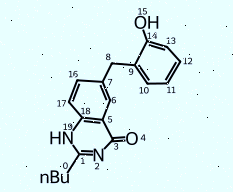 CCCCc1nc(=O)c2cc(Cc3ccccc3O)ccc2[nH]1